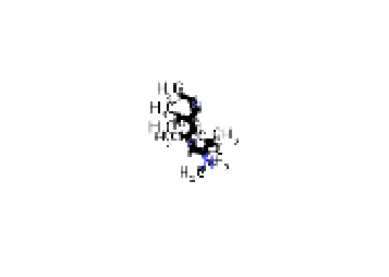 C=C/C=C\C(C/C(C)=C\C(=N/C)C(C)(C)C)=C(C)C